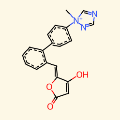 C[N+]1(c2ccc(-c3ccccc3/C=C3\OC(=O)C=C3O)cc2)C=NC=N1